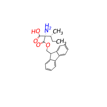 CC[C@@H](C)[C@](N)(C(=O)O)C(=O)OCC1c2ccccc2-c2ccccc21